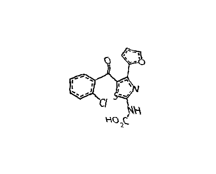 O=C(O)Nc1nc(-c2ccco2)c(C(=O)c2ccccc2Cl)s1